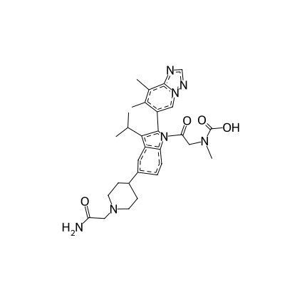 Cc1c(-c2c(C(C)C)c3cc(C4CCN(CC(N)=O)CC4)ccc3n2C(=O)CN(C)C(=O)O)cn2ncnc2c1C